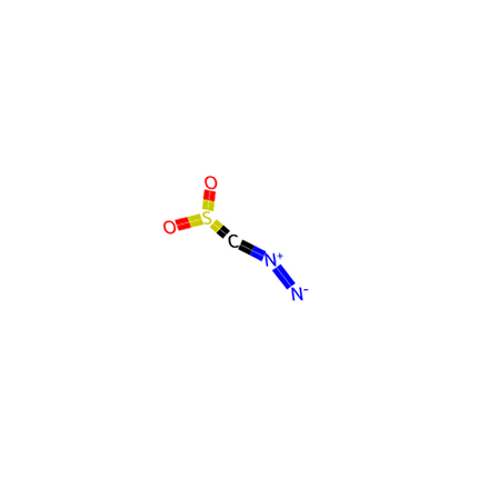 [N-]=[N+]=C=S(=O)=O